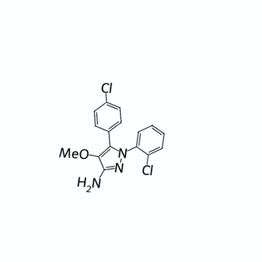 COc1c(N)nn(-c2ccccc2Cl)c1-c1ccc(Cl)cc1